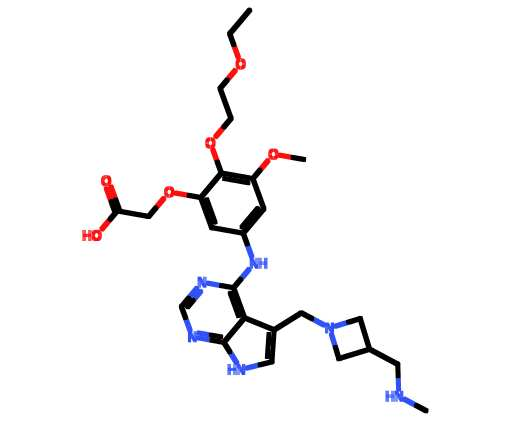 CCOCCOc1c(OC)cc(Nc2ncnc3[nH]cc(CN4CC(CNC)C4)c23)cc1OCC(=O)O